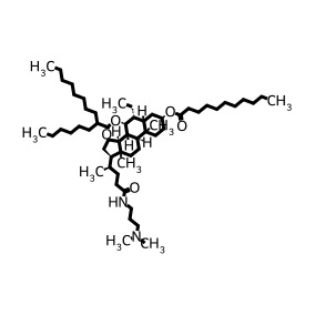 CCCCCCCCCCC(=O)O[C@@H]1CC[C@@]2(C)[C@@H](C1)[C@@H](CC)[C@@H](OC(=O)C(CCCCCC)CCCCCCCC)[C@@H]1[C@@H]2CC[C@]2(C)[C@@H]([C@H](C)CCC(=O)NCCCN(C)C)CC[C@@H]12